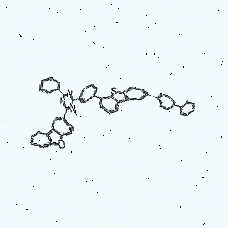 c1ccc(-c2ccc(-c3ccc4sc5c(-c6cccc(-c7nc(-c8ccccc8)nc(-c8ccc9oc%10ccccc%10c9c8)n7)c6)cccc5c4c3)cc2)cc1